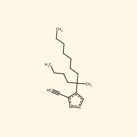 C#Cc1nscc1C(C)(CCCC)CCCCCCC